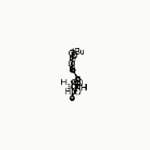 CN1C(=O)[C@@H](NC(=O)C(=O)NCCc2ccccc2)COc2ccc(C#CC3CCN(CCOCCOCC(=O)OC(C)(C)C)CC3)cc21